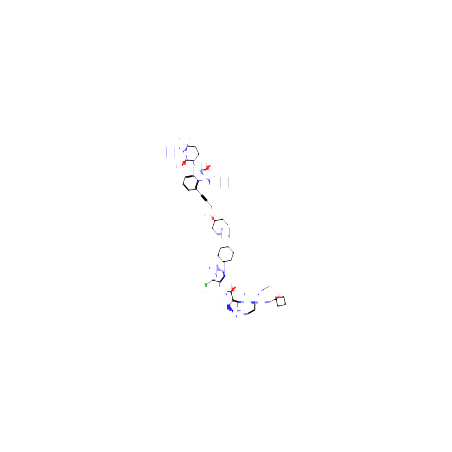 Cn1c(=O)n(C2CCC(=O)NC2=O)c2cccc(C#CCOC3CCN(C[C@H]4CC[C@H](n5cc(NC(=O)c6cnn7ccc(N8CCOC9(CCC9)C8)nc67)c(C(F)F)n5)CC4)CC3)c21